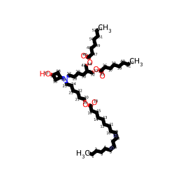 CCCCC/C=C\C/C=C\CCCCCCCC(=O)OCCCCCCN(CCCCC(COC(=O)CCCCCCC)COC(=O)CCCCCCC)C1CC(O)C1